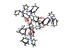 Cc1cc(C)c(N2c3cc4c(cc3B3c5cc6c(cc5Oc5cc(N(c7ccccc7)c7ccccc7)cc2c53)N(c2c(C)cc(C)cc2C)c2cc(N(c3ccccc3)c3ccccc3)cc3c2B6c2ccccc2O3)B2c3ccccc3Oc3cc(N(c5ccccc5)c5ccccc5)cc(c32)O4)c(C)c1